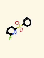 O=S(=O)(c1ccccc1)c1cccc(F)n1